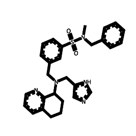 CN(Cc1ccccc1)S(=O)(=O)c1cccc(CN(Cc2cnc[nH]2)C2CCCc3cccnc32)c1